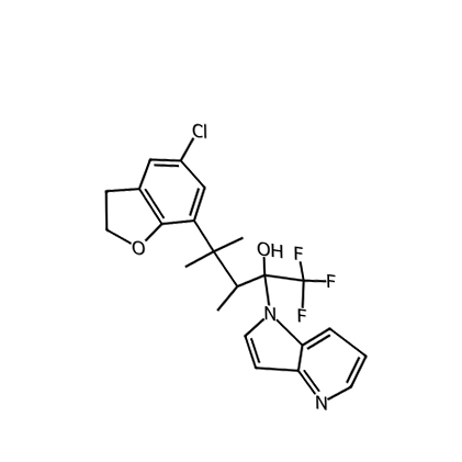 CC(C(C)(C)c1cc(Cl)cc2c1OCC2)C(O)(n1ccc2ncccc21)C(F)(F)F